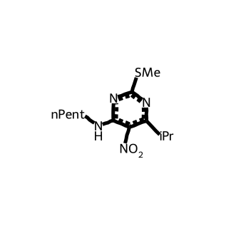 CCCCCNc1nc(SC)nc(C(C)C)c1[N+](=O)[O-]